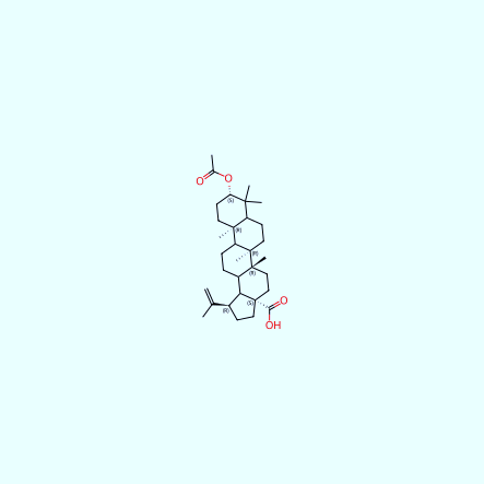 C=C(C)[C@@H]1CC[C@]2(C(=O)O)CC[C@]3(C)C(CCC4[C@@]5(C)CC[C@H](OC(C)=O)C(C)(C)C5CC[C@]43C)C12